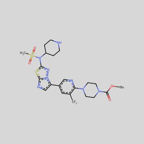 CC(C)(C)OC(=O)N1CCN(c2ncc(-c3cnc4sc(N(C5CCNCC5)S(C)(=O)=O)nn34)cc2C(F)(F)F)CC1